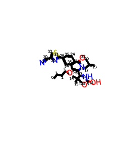 CCCCOc1c(C(NC(=O)O)C(C)(C)C)n(CC(C)C)c(=O)c2ccc(-c3nc(C#N)cs3)cc12